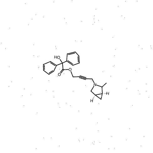 CC1[C@H]2C[C@H]2CN1CC#CCOC(=O)C(O)(c1ccccc1)c1ccccc1